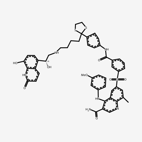 COc1cccc(Nc2c(C(N)=O)cnc3c(C)cc(S(=O)(=O)c4cccc(C(=O)Nc5ccc(C6(CCCCNC[C@H](O)c7ccc(O)c8[nH]c(=O)ccc78)SCCS6)cc5)c4)cc23)c1